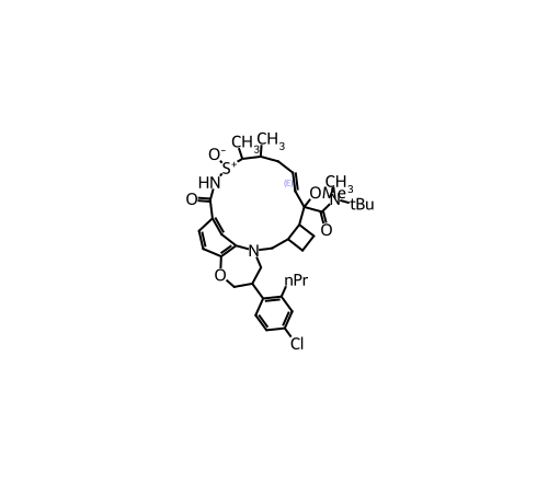 CCCc1cc(Cl)ccc1C1COc2ccc3cc2N(C1)CC1CCC1C(OC)(C(=O)N(C)C(C)(C)C)/C=C/CC(C)C(C)[S+]([O-])NC3=O